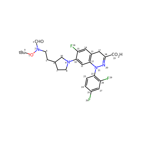 CC(C)(C)ON(C=O)CCC1CCN(c2cc3c(cc2F)CC(C(=O)O)=NN3c2ccc(F)cc2F)C1